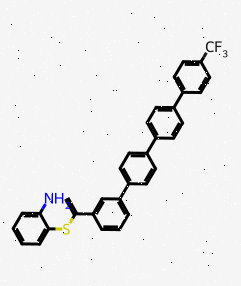 C=C(Sc1ccccc1N)c1cccc(-c2ccc(-c3ccc(-c4ccc(C(F)(F)F)cc4)cc3)cc2)c1